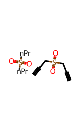 C#CCS(=O)(=O)CC#C.CCCS(=O)(=O)CCC